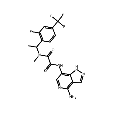 CC(c1ccc(C(F)(F)F)cc1F)N(C)C(=O)C(=O)Nc1cnc(N)c2cn[nH]c12